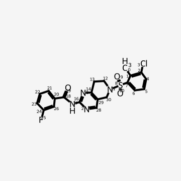 Cc1c(Cl)cccc1S(=O)(=O)N1CCc2nc(NC(=O)c3cccc(F)c3)ncc2C1